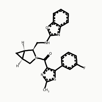 Cc1nc(C(=O)N2C[C@H]3C[C@H]3[C@H]2CNc2nc3ccccc3o2)c(-c2cccc(F)c2)s1